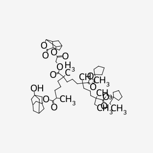 CCC1(OC(=O)C(C)(CC)CCCC(C)(CCCC(C)(CCCC(C)C(=O)OC23CC4CC(CC(O)(C4)C2)C3)C(=O)OCC(=O)OC2C3CC4C(=O)OC2C4C3)C(=O)OC2(C)CCCC2)CCCC1